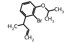 [CH2]C(C=C)c1cccc(OC(C)C)c1Br